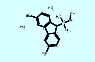 CC(C)(C)[NH][Ti]([CH3])([CH3])[CH]1c2ccc(C(C)(C)C)cc2-c2cc(C(C)(C)C)ccc21.Cl.Cl